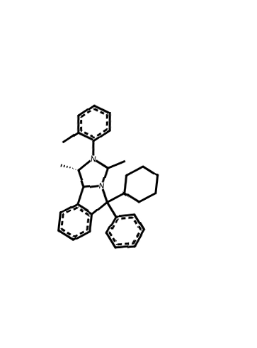 Cc1ccccc1N1C(C)N2C(c3ccccc3C2(c2ccccc2)C2CCCCC2)[C@@H]1C